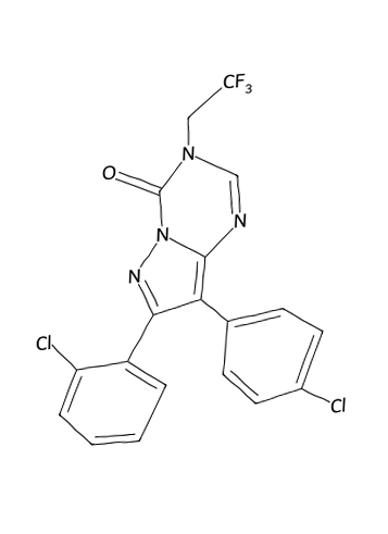 O=c1n(CC(F)(F)F)cnc2c(-c3ccc(Cl)cc3)c(-c3ccccc3Cl)nn12